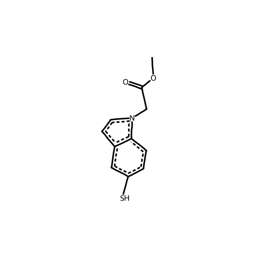 COC(=O)Cn1ccc2cc(S)ccc21